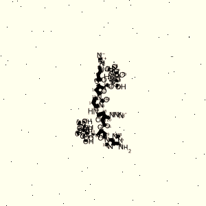 [N-]=[N+]=NCCCC(=O)OC1C[C@H](n2ccc(Nc3cc(CN=[N+]=[N-])c(C(=O)OC4C[C@H](n5cnc6c(N)ncnc65)O[C@@H]4COP(=O)(O)OP(=O)(O)OP(=O)(O)O)o3)nc2=O)O[C@@H]1COP(=O)(O)OP(=O)(O)OP(=O)(O)O